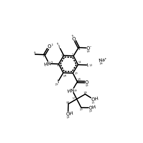 CC(=O)Nc1c(I)c(C(=O)[O-])c(I)c(C(=O)NC(CO)(CO)CO)c1I.[Na+]